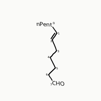 CCCCCC=CCCCCC=O